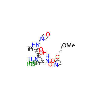 COCCCCOc1cccnc1OC(=O)NC[C@@H](C[C@H](N)[C@@H](O)C[C@H](C(=O)NCCN1CCOCC1)C(C)C)C(C)C.Cl.Cl